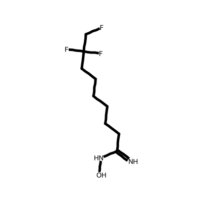 N=C(CCCCCCC(F)(F)CF)NO